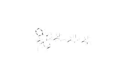 CC(C)=CCC/C(C)=C/CC/C(C)=C/CC12C(=O)c3ccccc3C(=O)C1(C)C1C=CC2C1